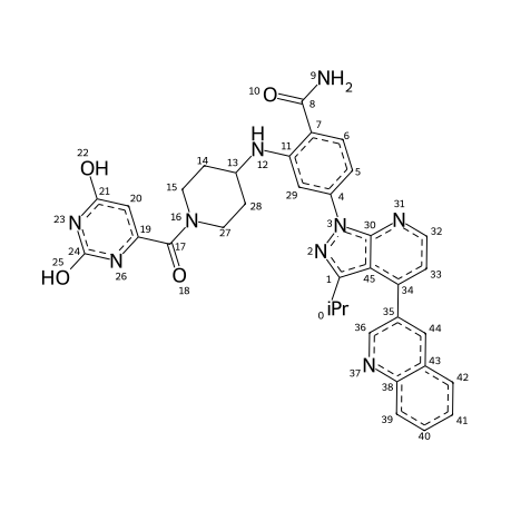 CC(C)c1nn(-c2ccc(C(N)=O)c(NC3CCN(C(=O)c4cc(O)nc(O)n4)CC3)c2)c2nccc(-c3cnc4ccccc4c3)c12